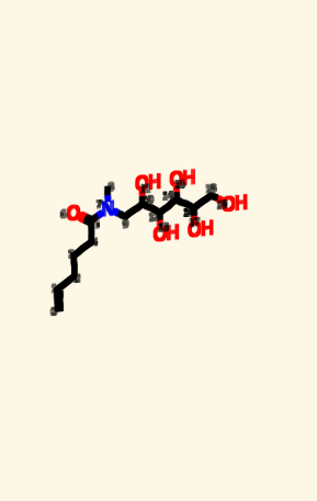 C=CCCCC(=O)N(C)CC(O)C(O)C(O)C(O)CO